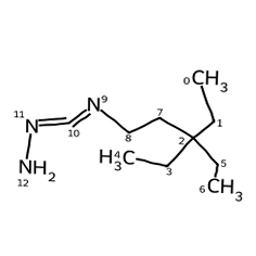 CCC(CC)(CC)CCN=C=NN